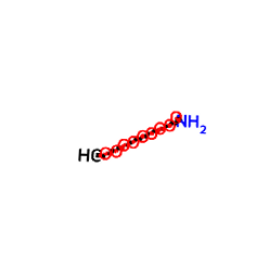 C#CCOCCOCCOCCOCCOCCOCCOCCOCCC(N)=O